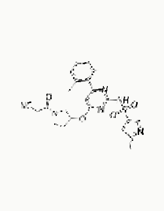 Cc1cccc(C)c1-c1cc(OC2CCN(C(=O)CC#N)C2)nc(NS(=O)(=O)c2cnn(C)c2)n1